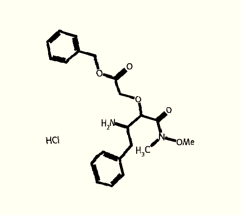 CON(C)C(=O)C(OCC(=O)OCc1ccccc1)C(N)Cc1ccccc1.Cl